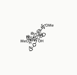 CCC(C)C(C(=O)NC(Cc1ccccc1)C(O)CN(Cc1ccc(-c2ccccn2)cc1)NC(=O)C(NC(=O)OC)C(C)(C)C)N1CCN(Cc2csc(COC)n2)C1=O